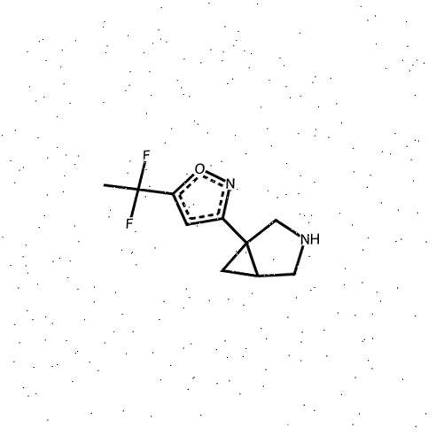 CC(F)(F)c1cc(C23CNCC2C3)no1